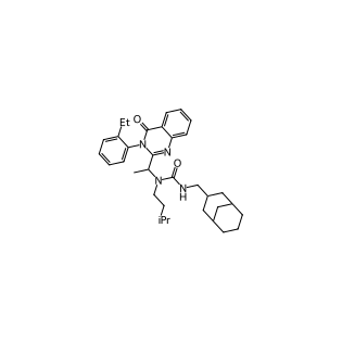 CCc1ccccc1-n1c(C(C)N(CCC(C)C)C(=O)NCC2CC3CCCC(C3)C2)nc2ccccc2c1=O